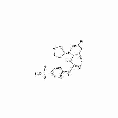 CS(=O)(=O)c1ccc(NC2=NC=C3CC(Br)=CN(C4CCCC4)C3N2)nc1